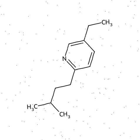 CCc1ccc(CCC(C)C)nc1